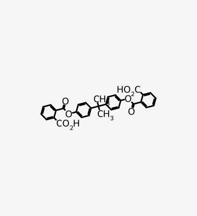 CC(C)(c1ccc(OC(=O)c2ccccc2C(=O)O)cc1)c1ccc(OC(=O)c2ccccc2C(=O)O)cc1